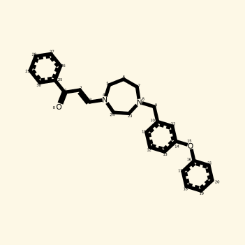 O=C(C=CN1CCCN(Cc2cccc(Oc3ccccc3)c2)CC1)c1ccccc1